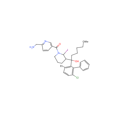 CCc1ccc(Cl)c(-c2ccccc2)c1C(O)(CCCCOC)C1CCCN(C(=O)c2ccc(CN)nc2)C1I